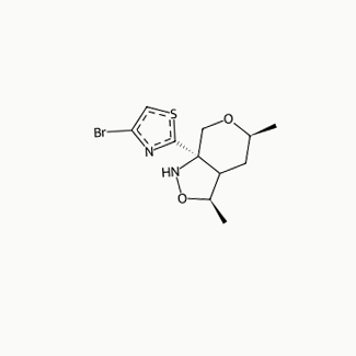 C[C@H]1CC2[C@@H](C)ON[C@@]2(c2nc(Br)cs2)CO1